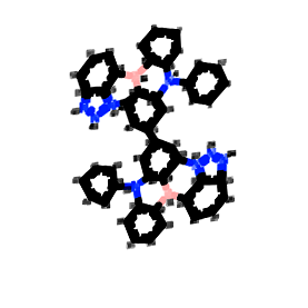 c1ccc(N2c3ccccc3B3c4c2cc(-c2cc5c6c(c2)-n2nnc7cccc(c72)B6c2ccccc2N5c2ccccc2)cc4-n2nnc4cccc3c42)cc1